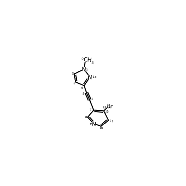 Cn1ccc(C#Cc2cnccc2Br)n1